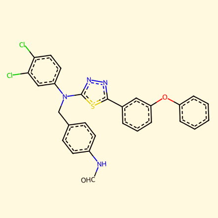 O=CNc1ccc(CN(c2ccc(Cl)c(Cl)c2)c2nnc(-c3cccc(Oc4ccccc4)c3)s2)cc1